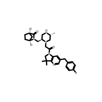 C[C@@H]1CN(CC(=O)N2CC(C)(C)c3ncc(Cc4ccc(F)cc4)cc32)[C@@H](CN2C(=O)[C@@H]3CC[C@H]2C3)CN1